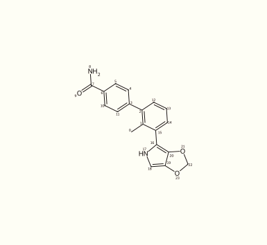 Cc1c(-c2ccc(C(N)=O)cc2)cccc1-c1[nH]cc2c1OCO2